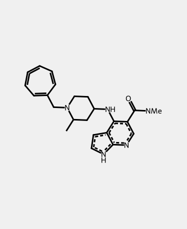 CNC(=O)c1cnc2[nH]ccc2c1NC1CCN(CC2=CC=C=CC=C2)C(C)C1